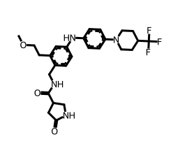 COCCc1cc(Nc2ccc(N3CCC(C(F)(F)F)CC3)cc2)ccc1CNC(=O)C1CNC(=O)C1